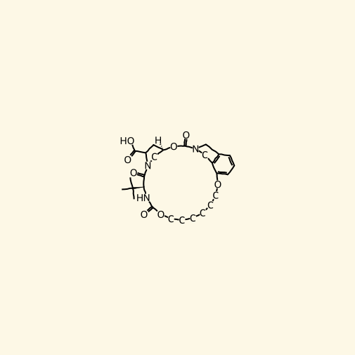 CC(C)(C)[C@@H]1NC(=O)OCCCCCCOc2cccc3c2CN(C3)C(=O)O[C@@H]2CC(C(=O)O)N(C2)C1=O